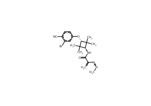 C=C(/N=N\C)C(=O)N[C@H]1C(C)(C)[C@H](Oc2ccc(C#N)c(Br)c2)C1(C)C